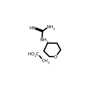 C1CCOCC1.CC(=O)O.N=C(N)N